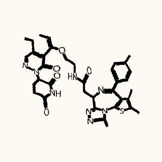 C/C=C(/OCCNC(=O)CC1N=C(c2ccc(C)cc2)c2c(sc(C)c2C)-n2c(C)nnc21)c1c(CC)cnn(C2CCC(=O)NC2=O)c1=O